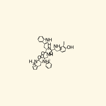 NC(=O)[C@H](Cc1cccs1)NC(=O)[C@@H](Cc1ccccc1)NC(=O)[C@@H](Cc1c[nH]c2ccccc12)NC(=O)[C@@H](N)Cc1ccc(O)c(I)c1